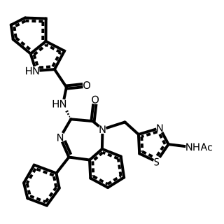 CC(=O)Nc1nc(CN2C(=O)[C@@H](NC(=O)c3cc4ccccc4[nH]3)N=C(c3ccccc3)c3ccccc32)cs1